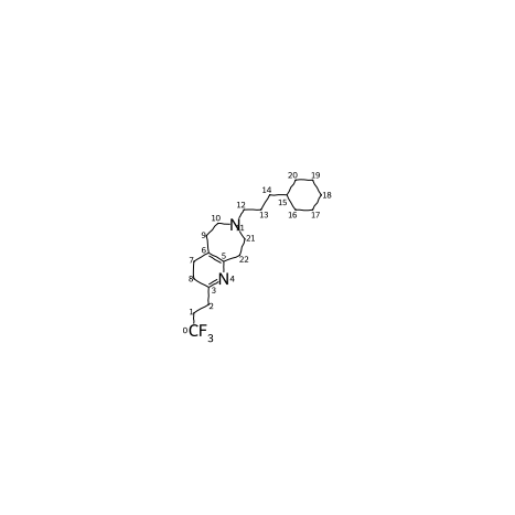 FC(F)(F)CCC1=NC2=C(CC1)CCN(CCCC1CCCCC1)CC2